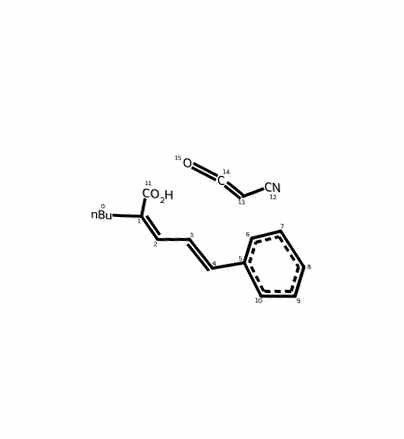 CCCCC(=CC=Cc1ccccc1)C(=O)O.N#CC=C=O